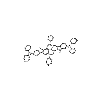 c1ccc(-c2cc3c4sc5cc(N(c6ccccc6)c6ccccc6)ccc5c4cc4c(-c5ccccc5)cc5c6sc7cc(N(c8ccccc8)c8ccccc8)ccc7c6cc2c5c43)cc1